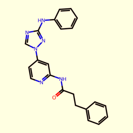 O=C(CCc1ccccc1)Nc1cc(-n2cnc(Nc3ccccc3)n2)ccn1